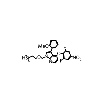 COc1ccccc1-c1cn(COCC[SiH](C)C)c2nccc(Oc3c(F)cc([N+](=O)[O-])cc3F)c12